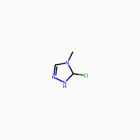 CN1C=NNC1Cl